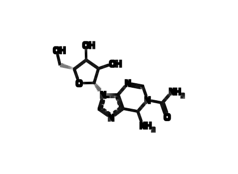 NC(=O)N1C=Nc2c(ncn2[C@@H]2O[C@H](CO)C(O)C2O)C1N